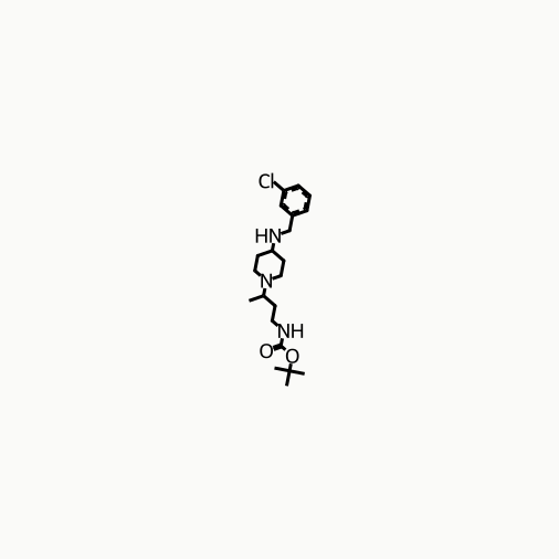 CC(CCNC(=O)OC(C)(C)C)N1CCC(NCc2cccc(Cl)c2)CC1